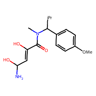 COc1ccc(C(C(C)C)N(C)C(=O)/C(O)=C/C(N)O)cc1